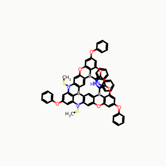 CSN1c2cc3c(cc2B2c4cc5c(cc4N(SC)c4cc(Oc6ccccc6)cc1c42)Oc1cc(Oc2ccccc2)cc2c1B5c1[nH]c4ccccc4c1O2)B1c2[nH]c4ccccc4c2Oc2cc(Oc4ccccc4)cc(c21)O3